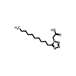 CCCCCCCCCCc1nnnn1CC(=O)O